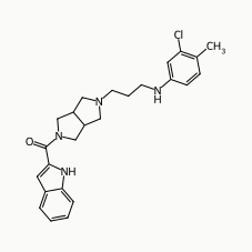 Cc1ccc(NCCCN2CC3CN(C(=O)c4cc5ccccc5[nH]4)CC3C2)cc1Cl